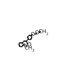 C=COCOc1ccc(-c2cc3ccccc3n(C)c2=O)cc1